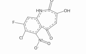 O=c1[nH]c2cc(F)c(Cl)c([N+](=O)[O-])c2c(=O)cc1O